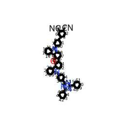 N#Cc1ccc(-c2ccc(-n3c4ccccc4c4c5oc6c(ccc7c6c6ccccc6n7-c6ccc(-c7nc(-c8ccccc8)nc(-c8ccccc8)n7)cc6)c5ccc43)cc2)cc1C#N